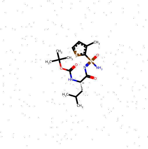 Cc1ccsc1S(N)(=O)=NC(=O)[C@H](CC(C)C)NC(=O)OC(C)(C)C